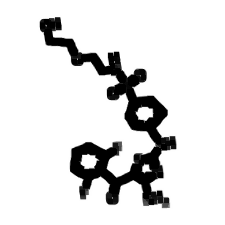 Nc1nc(Nc2ccc(S(=O)(=O)NCCOCCO)cc2)sc1C(=O)c1c(F)cccc1F